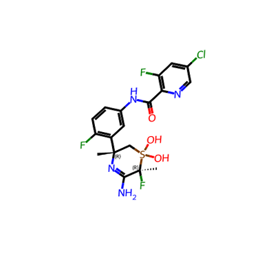 C[C@]1(F)C(N)=N[C@](C)(c2cc(NC(=O)c3ncc(Cl)cc3F)ccc2F)CS1(O)O